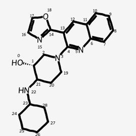 O[C@@H]1CN(c2nc3ccccc3cc2-c2ncco2)CCC1NC1CCCCC1